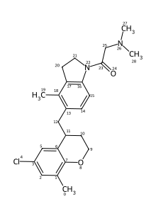 Cc1cc(Cl)cc2c1OCCC2Cc1ccc2c(c1C)CCN2C(=O)CN(C)C